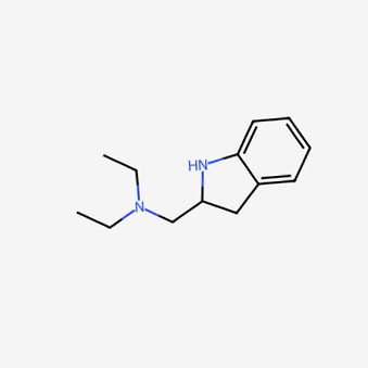 CCN(CC)CC1Cc2ccccc2N1